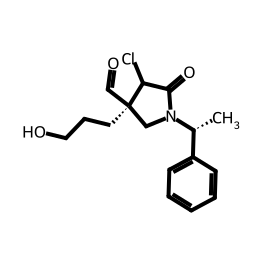 C[C@H](c1ccccc1)N1C[C@](C=O)(CCCO)C(Cl)C1=O